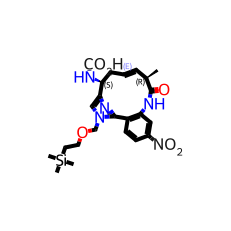 C[C@@H]1/C=C/C[C@H](NC(=O)O)c2cn(COCC[Si](C)(C)C)c(n2)-c2ccc([N+](=O)[O-])cc2NC1=O